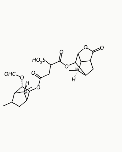 CC1CC2C(OC(=O)CC(C(=O)OC3C4OC(=O)C5CC3[C@@H](C)C54)S(=O)(=O)O)C(OC=O)C1[C@@H]2C